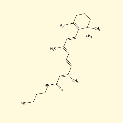 CC(C=CC1=C(C)CCCC1(C)C)=CC=CC(C)=CC(=O)NCCCO